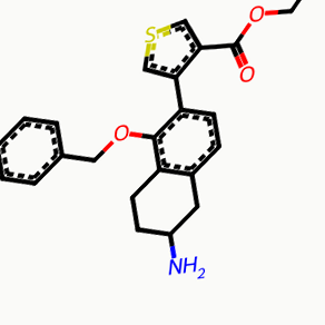 CCOC(=O)c1cscc1-c1ccc2c(c1OCc1ccccc1)CCC(N)C2